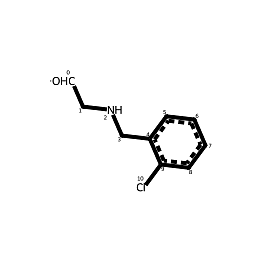 O=[C]CNCc1ccccc1Cl